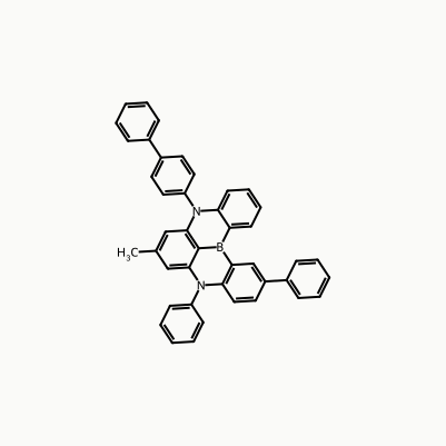 Cc1cc2c3c(c1)N(c1ccccc1)c1ccc(-c4ccccc4)cc1B3c1ccccc1N2c1ccc(-c2ccccc2)cc1